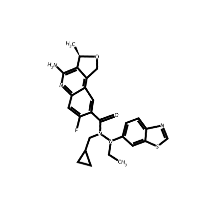 CCN(c1ccc2ncsc2c1)N(CC1CC1)C(=O)c1cc2c3c(c(N)nc2cc1F)[C@@H](C)OC3